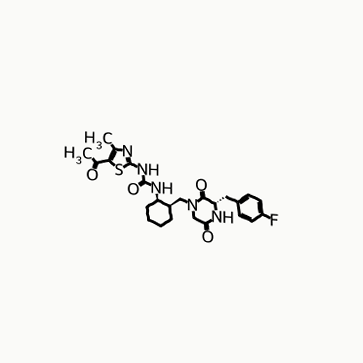 CC(=O)c1sc(NC(=O)N[C@@H]2CCCC[C@@H]2CN2CC(=O)N[C@@H](Cc3ccc(F)cc3)C2=O)nc1C